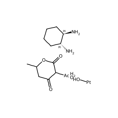 CC(=O)C1C(=O)CC(C)OC1=O.N[C@@H]1CCCC[C@H]1N.O.[OH][Pt]